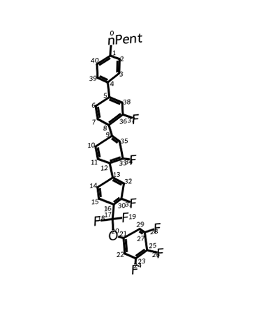 CCCCCc1ccc(-c2ccc(-c3ccc(-c4ccc(C(F)(F)Oc5cc(F)c(F)c(F)c5)c(F)c4)c(F)c3)c(F)c2)cc1